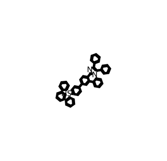 c1ccc(-c2nc3c4ccc(-c5ccc6c(c5)[SH]6(c5ccccc5)(c5ccccc5)c5ccccc5)cc4c4ccccc4n3c2-c2ccccc2)cc1